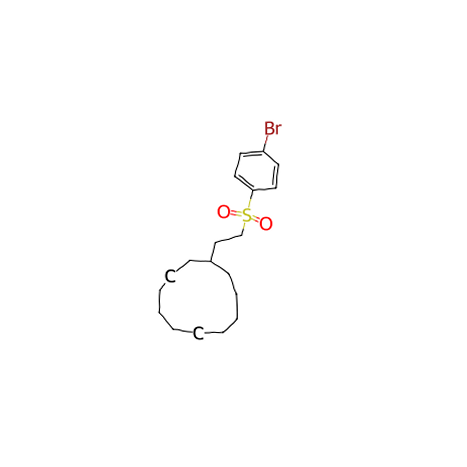 O=S(=O)(CCC1CCCCCCCCCC1)c1ccc(Br)cc1